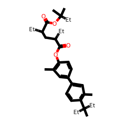 CCC(CC(CC)C(=O)OC(C)(C)CC)C(=O)Oc1ccc(-c2ccc(C(C)(CC)CC)c(C)c2)cc1C